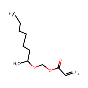 C=CC(=O)OCOC(C)CCCCCC